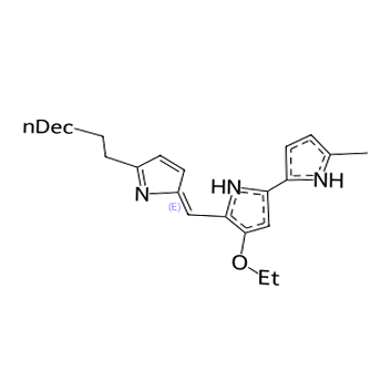 CCCCCCCCCCCCC1=N/C(=C/c2[nH]c(-c3ccc(C)[nH]3)cc2OCC)C=C1